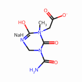 C[N+]1(CC(=O)[O-])C(=O)N(C(N)=O)CN=C1O.[NaH]